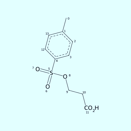 Cc1ccc(S(=O)(=O)OCCC(=O)O)cc1